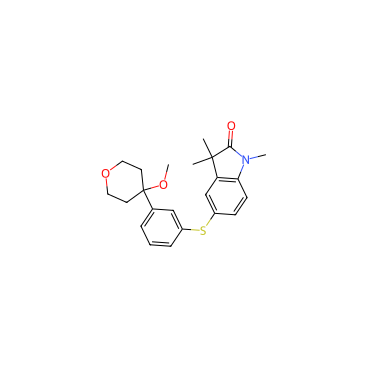 COC1(c2cccc(Sc3ccc4c(c3)C(C)(C)C(=O)N4C)c2)CCOCC1